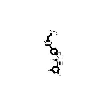 Cl.NCCc1ncc(-c2ccc(NC(=O)Nc3cc(F)cc(F)c3)cc2)s1